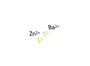 [Ba+2].[S-2].[S-2].[Zn+2]